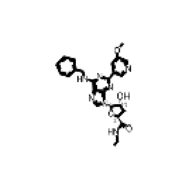 CCNC(=O)[C@@H]1C[C@@H](O)[C@H](n2cnc3c(NCc4ccccc4)nc(-c4cncc(OC)c4)nc32)O1